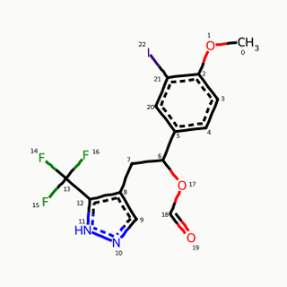 COc1ccc(C(Cc2cn[nH]c2C(F)(F)F)OC=O)cc1I